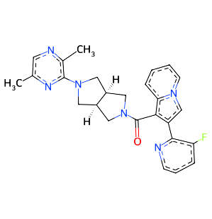 Cc1cnc(C)c(N2C[C@H]3CN(C(=O)c4c(-c5ncccc5F)cn5ccccc45)C[C@H]3C2)n1